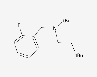 CC(C)(C)CCN(Cc1ccccc1F)C(C)(C)C